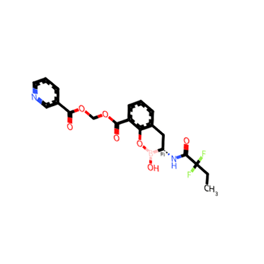 CCC(F)(F)C(=O)N[C@H]1Cc2cccc(C(=O)OCOC(=O)c3cccnc3)c2OB1O